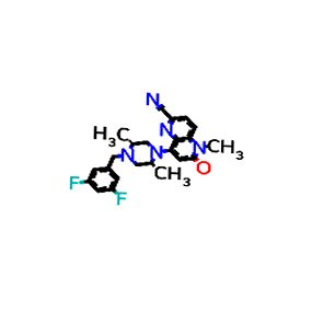 C[C@@H]1CN(c2cc(=O)n(C)c3ccc(C#N)nc23)[C@@H](C)CN1Cc1cc(F)cc(F)c1